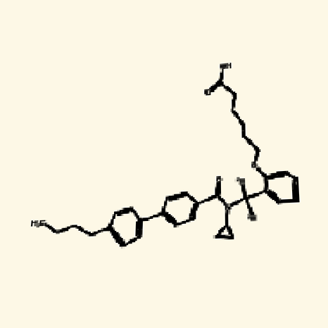 [2H]C([2H])(c1ccccc1OCCCCCC(=O)O)N(C(=O)c1ccc(-c2ccc(CCCC)cc2)cc1)C1CC1